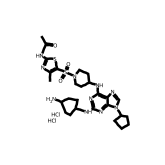 CC(=O)Nc1nc(C)c(S(=O)(=O)N2CCC(Nc3nc(NC4CCC(N)CC4)nc4c3ncn4C3CCCC3)CC2)s1.Cl.Cl